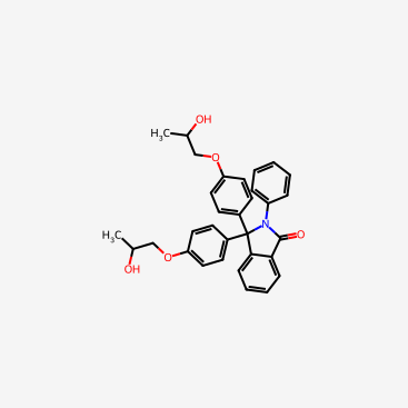 CC(O)COc1ccc(C2(c3ccc(OCC(C)O)cc3)c3ccccc3C(=O)N2c2ccccc2)cc1